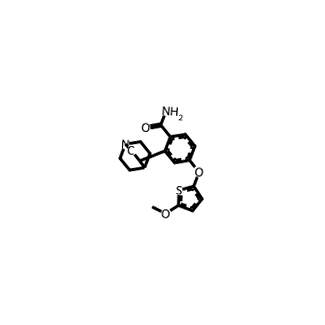 COc1ccc(Oc2ccc(C(N)=O)c(C3CN4CCC3CC4)c2)s1